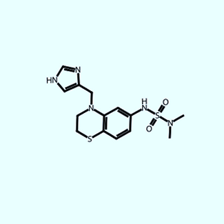 CN(C)S(=O)(=O)Nc1ccc2c(c1)N(Cc1c[nH]cn1)CCS2